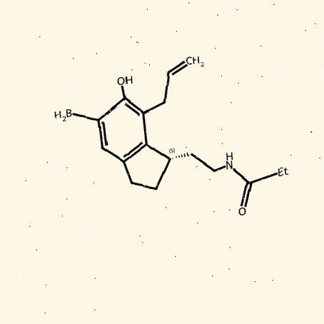 Bc1cc2c(c(CC=C)c1O)[C@H](CCNC(=O)CC)CC2